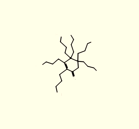 CCCCC1=C(CCCC)C(CCCC)(CCCC)C(CCCC)(CCCC)CC1=N